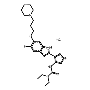 CCN(CC)C(=O)Nc1c[nH]nc1-c1nc2cc(F)c(OCCCN3CCCCC3)cc2[nH]1.Cl